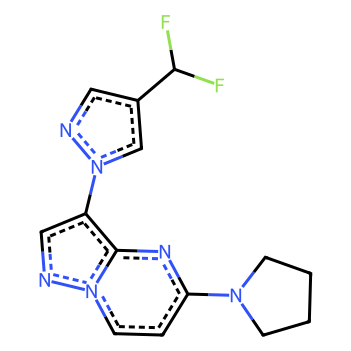 FC(F)c1cnn(-c2cnn3ccc(N4CCCC4)nc23)c1